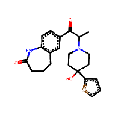 CC(C(=O)c1ccc2c(c1)CCCC(=O)N2)N1CCC(O)(c2cccs2)CC1